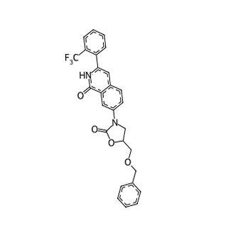 O=C1OC(COCc2ccccc2)CN1c1ccc2cc(-c3ccccc3C(F)(F)F)[nH]c(=O)c2c1